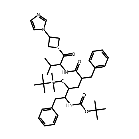 CC(C)C(NC(=O)C(Cc1ccccc1)CC(O[Si](C)(C)C(C)(C)C)C(Cc1ccccc1)NC(=O)OC(C)(C)C)C(=O)N1CC(n2ccnc2)C1